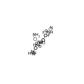 CN1CCC(NC(=O)c2c(F)cc(-c3ccc(C[C@H](NC(=O)[C@H]4CC[C@H](CN)CC4)C(=O)Nc4ccc(-c5nn[nH]n5)cc4)cc3)cc2F)CC1.Cl